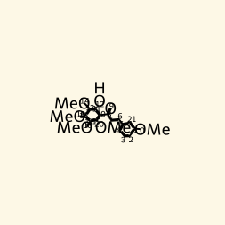 COc1cccc(/C=C/C(=O)c2c(O)c(OC)c(OC)c(OC)c2OC)c1